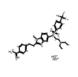 CCN(CC)CCN(c1ccc2c(c1)nc(CCc1ccc(C(=N)N)cc1)n2C)S(=O)(=O)c1ccc(C(F)(F)F)cc1.Cl.Cl